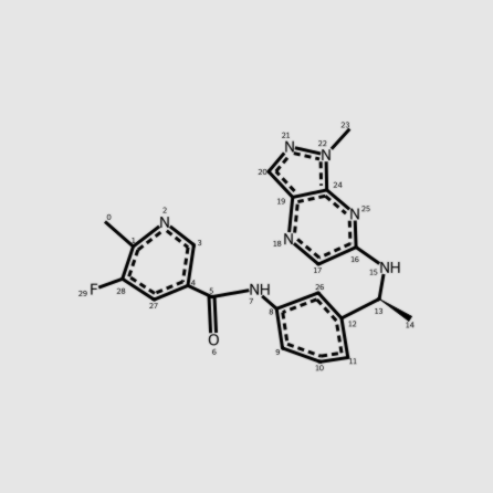 Cc1ncc(C(=O)Nc2cccc([C@H](C)Nc3cnc4cnn(C)c4n3)c2)cc1F